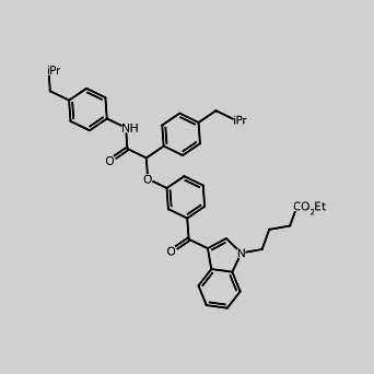 CCOC(=O)CCCn1cc(C(=O)c2cccc(OC(C(=O)Nc3ccc(CC(C)C)cc3)c3ccc(CC(C)C)cc3)c2)c2ccccc21